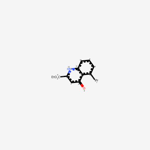 CCOC(=O)c1cc(=O)c2c(C(C)C)cccc2[nH]1